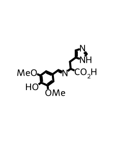 COc1cc(C=NC(Cc2cnc[nH]2)C(=O)O)cc(OC)c1O